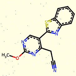 COc1ncc(-c2nc3ccccc3s2)c(CC#N)n1